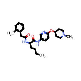 CCCCC(NC(=O)Cc1ccccc1C)C(=O)Nc1ccc(OC2CCN(C)CC2)nc1